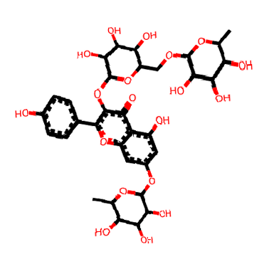 CC1OC(OCC2OC(Oc3c(-c4ccc(O)cc4)oc4cc(OC5OC(C)C(O)C(O)C5O)cc(O)c4c3=O)C(O)C(O)C2O)C(O)C(O)C1O